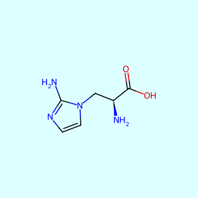 Nc1nccn1C[C@H](N)C(=O)O